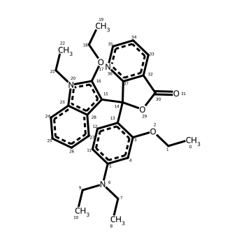 CCOc1cc(N(CC)CC)ccc1C1(c2c(OCC)n(CC)c3ccccc23)OC(=O)c2cccnc21